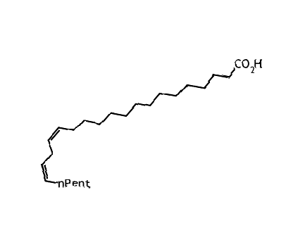 CCCCC/C=C\C/C=C\CCCCCCCCCCCCCC(=O)O